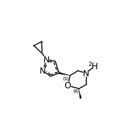 [2H]N1C[C@@H](C)O[C@@H](c2cnn(C3CC3)c2)C1